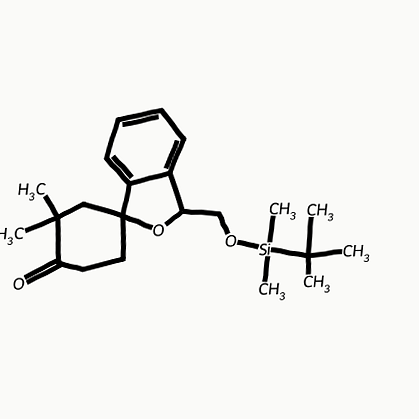 CC1(C)CC2(CCC1=O)OC(CO[Si](C)(C)C(C)(C)C)c1ccccc12